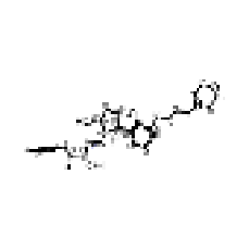 CC#CC[C@H](C)[C@@H](O)/C=C/[C@@H]1[C@H]2c3cccc(CCCCN4CCOCC4)c3O[C@H]2C[C@H]1O